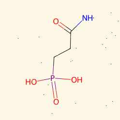 [NH]C(=O)CCP(=O)(O)O